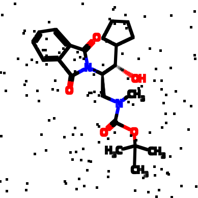 CN(C[C@H]([C@@H](O)C1CCCC1)N1C(=O)c2ccccc2C1=O)C(=O)OC(C)(C)C